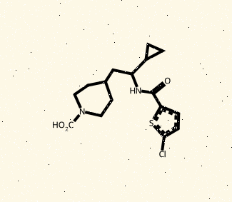 O=C(NC(CC1CCN(C(=O)O)CC1)C1CC1)c1ccc(Cl)s1